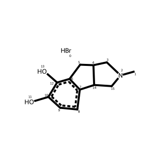 Br.CN1CC2Cc3c(ccc(O)c3O)C2C1